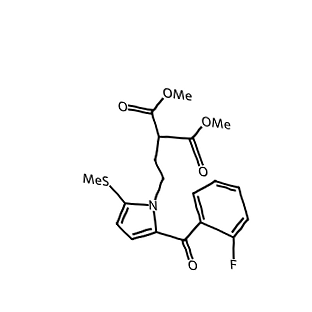 COC(=O)C(CCn1c(SC)ccc1C(=O)c1ccccc1F)C(=O)OC